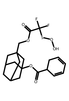 O=C(OC12CC3CC(CC(COC(=O)C(F)(F)SOO)(C3)C1)C2)C1C=CC=CC1